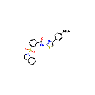 CC(=O)Nc1ccc(-c2csc(NC(=O)c3cccc(S(=O)(=O)N4CCc5ccccc54)c3)n2)cc1